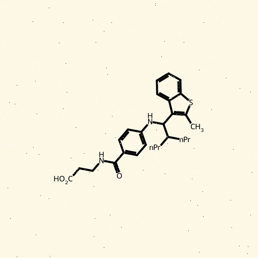 CCCC(CCC)C(Nc1ccc(C(=O)NCCC(=O)O)cc1)c1c(C)sc2ccccc12